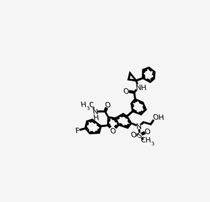 CNC(=O)c1c(-c2ccc(F)cc2)oc2cc(N(CCO)S(C)(=O)=O)c(-c3cccc(C(=O)NC4(c5ccccc5)CC4)c3)cc12